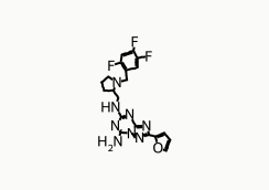 Nc1nc(NCC2CCCN2Cc2cc(F)c(F)cc2F)nc2nc(-c3ccco3)nn12